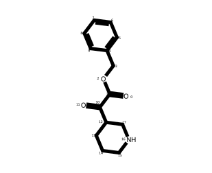 O=C(OCc1ccccc1)C(=O)C1CCCNC1